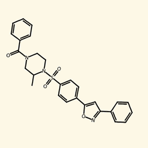 CC1CN(C(=O)c2ccccc2)CCN1S(=O)(=O)c1ccc(-c2cc(-c3ccccc3)no2)cc1